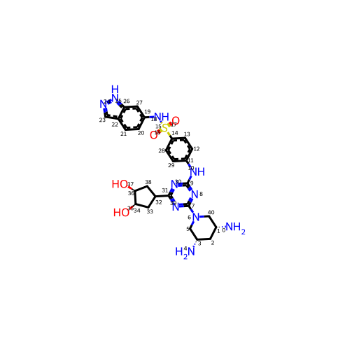 N[C@@H]1C[C@H](N)CN(c2nc(Nc3ccc(S(=O)(=O)Nc4ccc5cn[nH]c5c4)cc3)nc(C3C[C@@H](O)[C@@H](O)C3)n2)C1